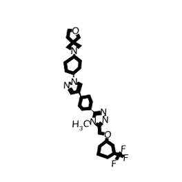 Cn1c(COC2CCCC(C(F)(F)F)C2)nnc1[C@H]1CC[C@H](c2cnn([C@H]3CC[C@H](N4CC5(CCOC5)C4)CC3)c2)CC1